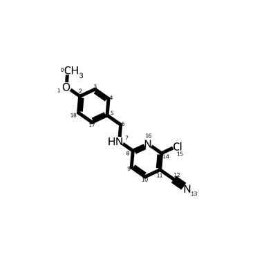 COc1ccc(CNc2ccc(C#N)c(Cl)n2)cc1